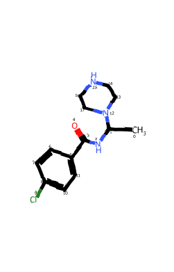 CC(NC(=O)c1ccc(Cl)cc1)N1CCNCC1